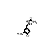 COc1cc(CNNC(=N)N)ccc1O